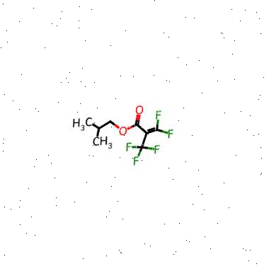 CC(C)COC(=O)C(=C(F)F)C(F)(F)F